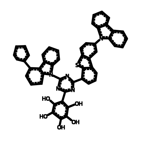 Oc1c(O)c(O)c(-c2nc(-c3cccc4c3sc3ccc(-n5c6ccccc6c6ccccc65)cc34)nc(-n3c4ccccc4c4c(-c5ccccc5)cccc43)n2)c(O)c1O